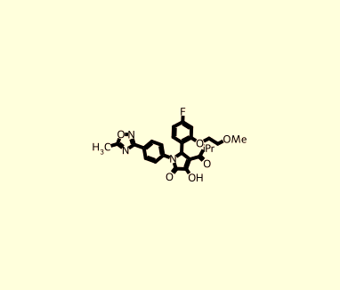 COCCOc1cc(F)ccc1C1C(C(=O)C(C)C)=C(O)C(=O)N1c1ccc(-c2noc(C)n2)cc1